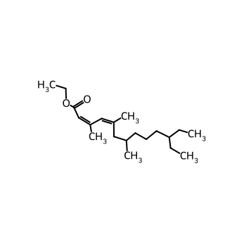 CCOC(=O)C=C(C)C=C(C)CC(C)CCCC(CC)CC